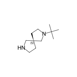 CC(C)(C)N1CC[C@]2(CCNC2)C1